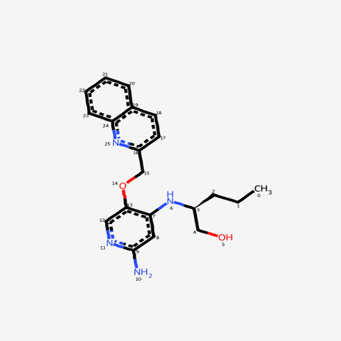 CCC[C@@H](CO)Nc1cc(N)ncc1OCc1ccc2ccccc2n1